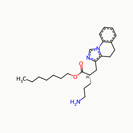 CCCCCCCOC(=O)[C@@H](CCCN)Cc1ncn2c1CCc1ccccc1-2